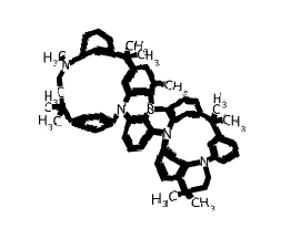 CC1CC2=CC3=C1B1c4ccc5cc4N(c4ccc6c(c4)N(CCC6(C)C)c4cccc(c4)C5(C)C)c4cccc(c41)N3c1ccc(cc1)C(C)(C)CCN(C)C1C=C(CCC1)C2(C)C